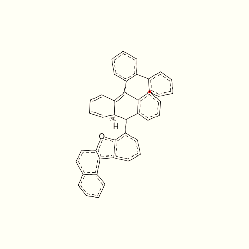 C1=CC2=C(c3ccccc3-c3ccccc3)c3ccccc3C(c3cccc4c3oc3ccc5ccccc5c34)[C@H]2C=C1